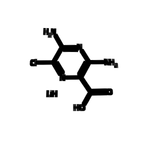 Nc1nc(N)c(C(=O)O)nc1Cl.[LiH]